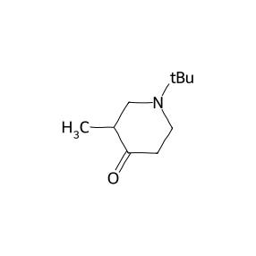 CC1CN(C(C)(C)C)CCC1=O